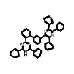 C1=CC(C2=NC(c3ccccc3-c3cccc(-c4nc(-c5ccccc5)c(-c5ccccc5)nc4-c4ccccc4)c3)=NC(c3ccccc3)N2)=CCC1